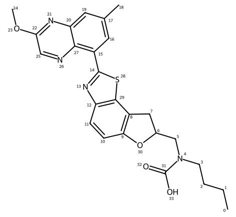 CCCCN(CC1Cc2c(ccc3nc(-c4cc(C)cc5nc(OC)cnc45)sc23)O1)C(=O)O